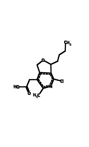 CCCCC1OCc2c(CC(=O)O)c(C)nc(Cl)c21